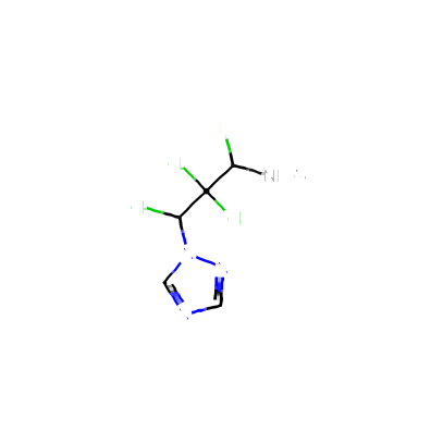 CC(=O)NC(Cl)C(Cl)(Cl)C(Cl)n1cncn1